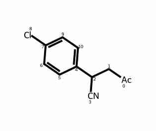 CC(=O)CC(C#N)c1ccc(Cl)cc1